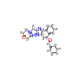 CC(c1nc2c(cc(OCc3ccccc3)c3ccccc32)[nH]1)N1CCOCC1